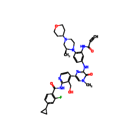 C#CC(=O)Nc1cc(Nc2nc(-c3ccnc(NC(=O)c4ccc(C5CC5)cc4F)c3CO)cn(C)c2=O)ccc1N1CCN(C2CCOCC2)C[C@@H]1C